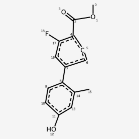 COC(=O)c1ccc(-c2ccc(O)cc2C)cc1F